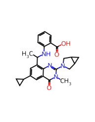 CC(Nc1ccccc1C(=O)O)c1cc(C2CC2)cc2c(=O)n(C)c(N3CC4CC4C3)nc12